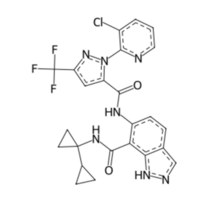 O=C(NC1(C2CC2)CC1)c1c(NC(=O)c2cc(C(F)(F)F)nn2-c2ncccc2Cl)ccc2cn[nH]c12